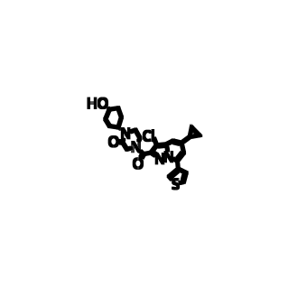 O=C(c1nn2c(-c3ccsc3)cc(C3CC3)cc2c1Cl)N1CCN([C@H]2CC[C@H](O)CC2)C(=O)C1